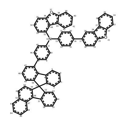 c1ccc2c(c1)-c1c(-c3ccc(N(c4ccc(-c5ccc6oc7ccccc7c6c5)cc4)c4cccc5oc6ccccc6c45)cc3)cccc1C21c2ccccc2-c2c1ccc1ccccc21